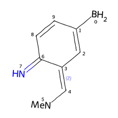 BC1=C/C(=C/NC)C(=N)C=C1